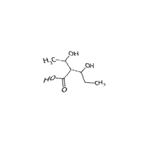 CCC(O)[C](C(=O)O)C(C)O